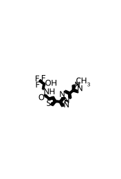 Cn1cc(-c2cnc3c(-c4csc(C(=O)NCC(O)C(F)(F)F)c4)cnn3c2)cn1